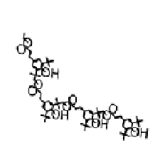 CCOC(=O)CCc1cc(C(C)(C)C)c(O)c(C(C)(C)COC(=O)CCc2cc(C(C)(C)C)c(O)c(C(C)(C)COC(=O)CCc3cc(C(C)(C)C)c(O)c(C(C)(C)COC(=O)CCc4cc(C(C)(C)C)c(O)c(C(C)(C)C)c4)c3)c2)c1